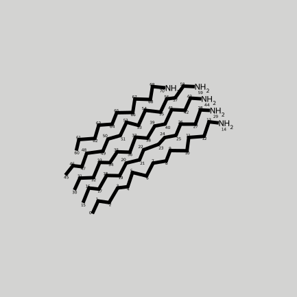 CCCCCCCCCCCCCCN.CCCCCCCCCCCCCCN.CCCCCCCCCCCCCCN.CCCCCCCCCCCCCCN.CCCCCCCCCCN